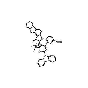 CC(C)(C)c1nc(-c2cc(C#N)ccc2-n2c3ccccc3c3c4oc5c(c4ccc32)=CCCC=5)nc(-n2c3ccccc3c3ccccc32)n1